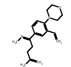 C=Cc1cc(/C(CCC(=C)C)=N/C)ccc1N1CCOCC1